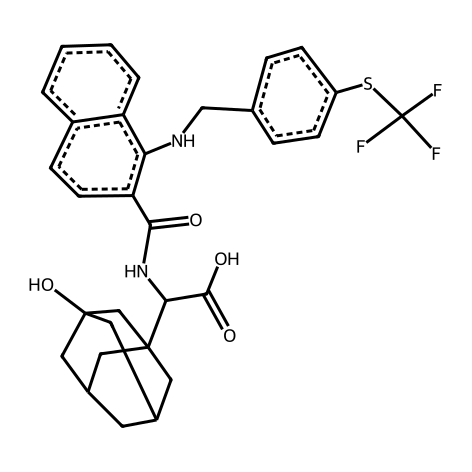 O=C(NC(C(=O)O)C12CC3CC(CC(O)(C3)C1)C2)c1ccc2ccccc2c1NCc1ccc(SC(F)(F)F)cc1